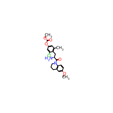 COC(=O)Oc1cc(C)c(C[C@H](N)C(=O)N2CCCc3cc(OC)ccc32)c(Cl)c1